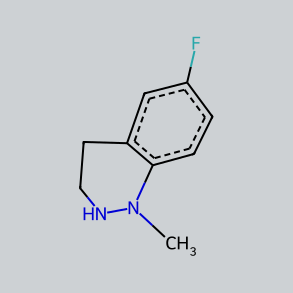 CN1NCCc2cc(F)ccc21